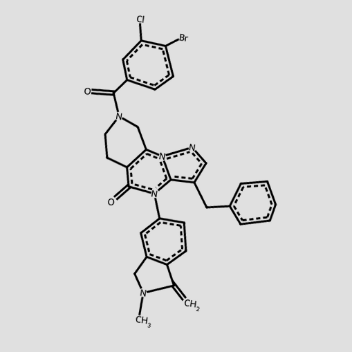 C=C1c2ccc(-n3c(=O)c4c(n5ncc(Cc6ccccc6)c35)CN(C(=O)c3ccc(Br)c(Cl)c3)CC4)cc2CN1C